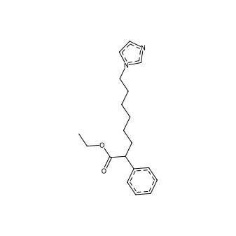 CCOC(=O)C(CCCCCCn1ccnc1)c1ccccc1